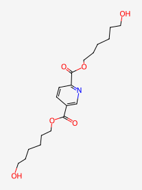 O=C(OCCCCCCO)c1ccc(C(=O)OCCCCCCO)nc1